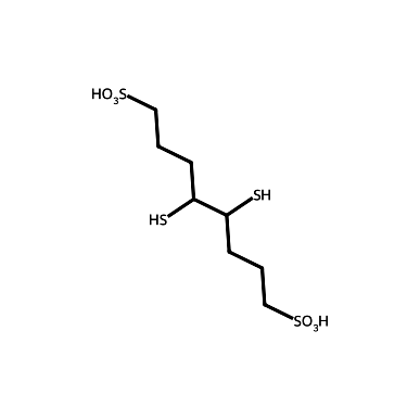 O=S(=O)(O)CCCC(S)C(S)CCCS(=O)(=O)O